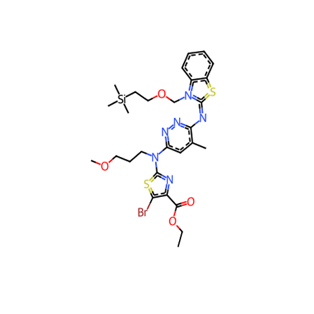 CCOC(=O)c1nc(N(CCCOC)c2cc(C)c(N=c3sc4ccccc4n3COCC[Si](C)(C)C)nn2)sc1Br